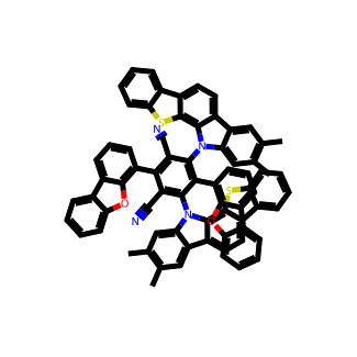 Cc1cc2c3ccc4c5ccccc5sc4c3n(-c3c(C#N)c(-c4cccc5c4oc4ccccc45)c(C#N)c(-n4c5cc(C)c(C)cc5c5ccc6c7ccccc7sc6c54)c3-c3cccc4c3oc3ccccc34)c2cc1C